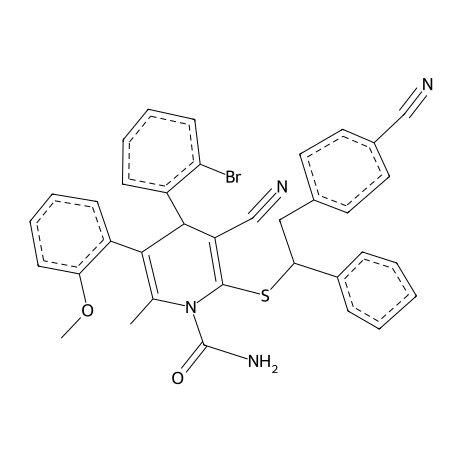 COc1ccccc1C1=C(C)N(C(N)=O)C(SC(Cc2ccc(C#N)cc2)c2ccccc2)=C(C#N)C1c1ccccc1Br